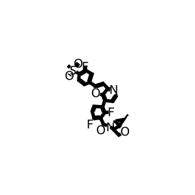 C[C@@H]1C2N(C(=O)c3c(F)ccc(-c4ccnc5cc(-c6ccc(S(C)(=O)=O)c(F)c6)oc45)c3F)C3COC321